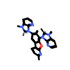 Cc1ccc2c(n1)oc1c(N3c4ncccc4N(C)[C@@H]3C)c(C)c(N3c4ncccc4N(C)[C@H]3C)cc12